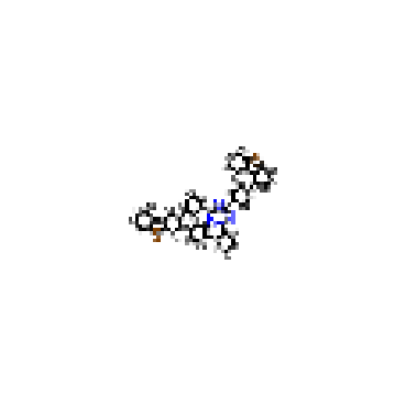 c1ccc(-c2ccccc2-c2nc(-c3ccc(-c4cccc5sc6ccccc6c45)cc3)nc(-c3cccc(-c4ccc5sc6ccccc6c5c4)c3)n2)cc1